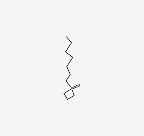 CCCCCCCP1(=O)CCC1